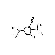 CC(C)c1c(Cl)cc(N(C)C)cc1C#N